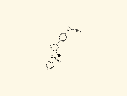 N[C@@H]1C[C@H]1c1ccc(-c2cccc(NS(=O)(=O)c3ccccc3)c2)cc1